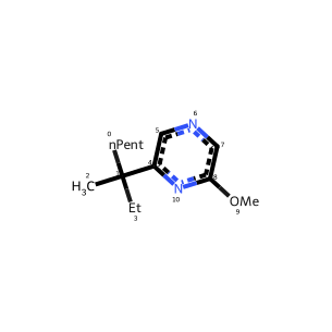 CCCCCC(C)(CC)c1cncc(OC)n1